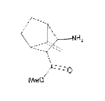 C=C1C2CCC1C(C(=O)OC)C2N